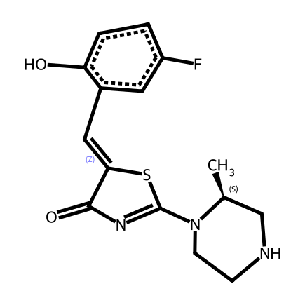 C[C@H]1CNCCN1C1=NC(=O)/C(=C/c2cc(F)ccc2O)S1